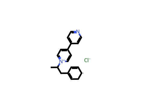 CC(CC1=CC[CH]C=C1)[n+]1ccc(-c2ccncc2)cc1.[Cl-]